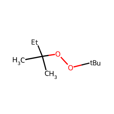 CCC(C)(C)OOC(C)(C)C